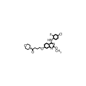 COc1nc(Nc2ccc(Cl)cc2F)c2ccc(OCCCC(=O)N3CCOCC3)cc2n1